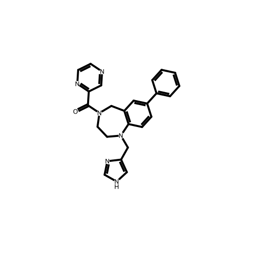 O=C(c1cnccn1)N1CCN(Cc2c[nH]cn2)c2ccc(-c3ccccc3)cc2C1